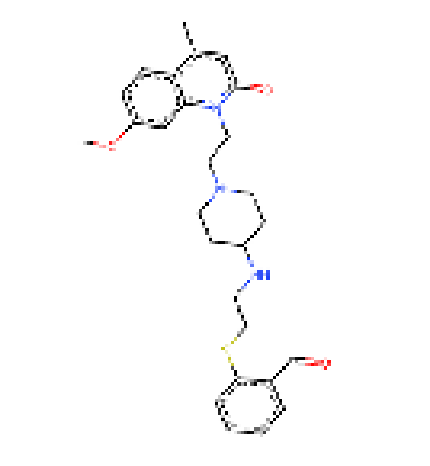 COc1ccc2c(C)cc(=O)n(CCN3CCC(NCCSc4ccccc4C=O)CC3)c2c1